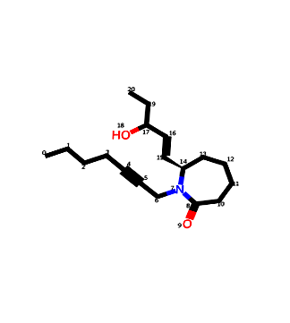 CCCCC#CCN1C(=O)CCCC[C@@H]1/C=C/C(O)CC